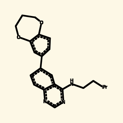 CC(C)CCNc1ncnc2ccc(-c3ccc4c(c3)OCCCO4)cc12